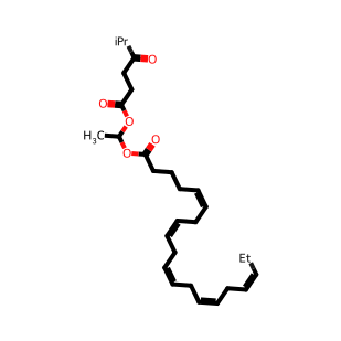 CC/C=C\C/C=C\C/C=C\C/C=C\C/C=C\CCCC(=O)OC(C)OC(=O)CCC(=O)C(C)C